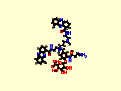 Cc1cccc2nc3cccc(C(=O)NCCN(C)CCC[N+](C)(CCNC(=O)c4cccc5nc6cccc(C)c6nc45)Cc4ccc(O[C@@H]5O[C@H](C(=O)O)[C@@H](O)[C@H](O)[C@H]5O)c(NC(=O)CCN)c4)c3nc12